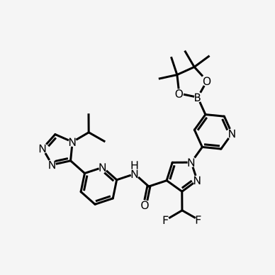 CC(C)n1cnnc1-c1cccc(NC(=O)c2cn(-c3cncc(B4OC(C)(C)C(C)(C)O4)c3)nc2C(F)F)n1